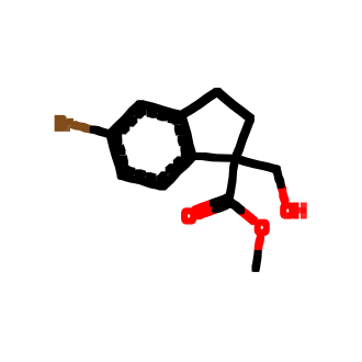 COC(=O)C1(CO)CCc2cc(Br)ccc21